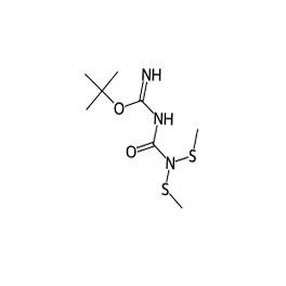 CSN(SC)C(=O)NC(=N)OC(C)(C)C